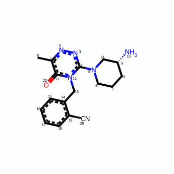 Cc1nnc(N2CCC[C@@H](N)C2)n(Cc2ccccc2C#N)c1=O